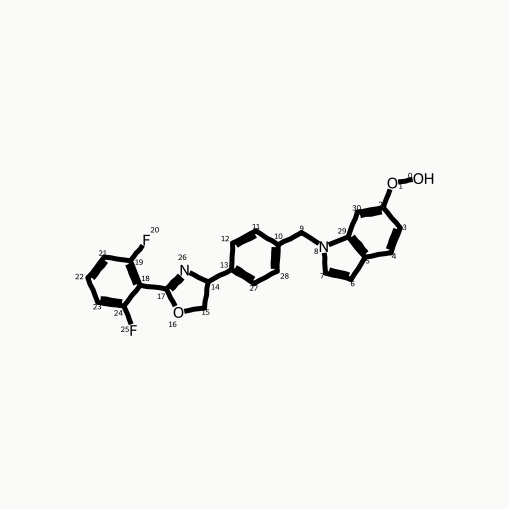 OOc1ccc2ccn(Cc3ccc(C4COC(c5c(F)cccc5F)=N4)cc3)c2c1